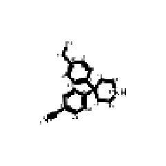 N#Cc1ccc(C2(c3ccc(CI)cc3)CCNCC2)cc1